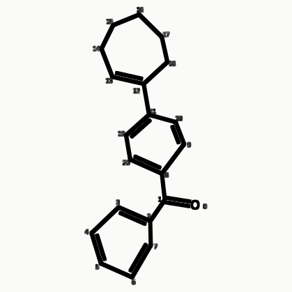 O=C(c1ccccc1)c1ccc(C2=CCCCCC2)cc1